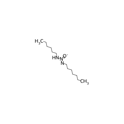 CCCCCCC/N=[N+](\[O-])NCCCCCC